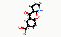 O=C(Cl)c1ccc2oc3ncccc3c(=O)c2c1